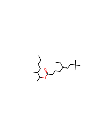 CCCCC(C)C(C)OC(=O)CCC/C(=C/CC(C)(C)C)CC